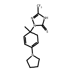 CC1(n2nc(C(F)(F)F)[nH]c2=S)C=CC(N2CCCC2)=CC1